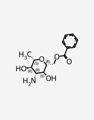 C[C@@H]1O[C@H](COC(=O)c2ccccc2)[C@@H](O)[C@H](N)[C@H]1O